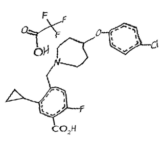 O=C(O)C(F)(F)F.O=C(O)c1cc(C2CC2)c(CN2CCC(Oc3ccc(Cl)cc3)CC2)cc1F